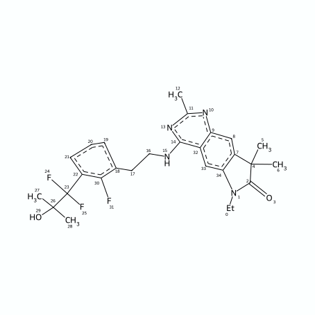 CCN1C(=O)C(C)(C)c2cc3nc(C)nc(NCCc4cccc(C(F)(F)C(C)(C)O)c4F)c3cc21